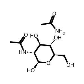 CC(=O)N[C@@H]1[C@@H](O)[C@H](O)[C@@H](CO)O[C@H]1O.CC(N)=O